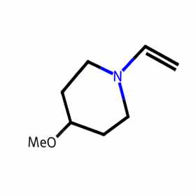 C=CN1CCC(OC)CC1